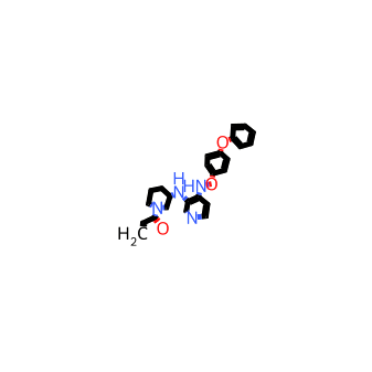 C=CC(=O)N1CCCC(Nc2cnccc2NOc2ccc(Oc3ccccc3)cc2)C1